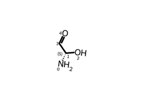 N[C@@H](O)C=O